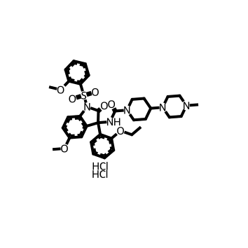 CCOc1ccccc1C1(NC(=O)N2CCC(N3CCN(C)CC3)CC2)C(=O)N(S(=O)(=O)c2ccccc2OC)c2ccc(OC)cc21.Cl.Cl